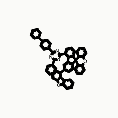 c1ccc(-c2ccc(-c3nc(-c4ccccc4)nc(-c4cccc5c4-c4cc(-c6cccc7oc8ccccc8c67)ccc4C54c5ccccc5Oc5ccccc54)n3)cc2)cc1